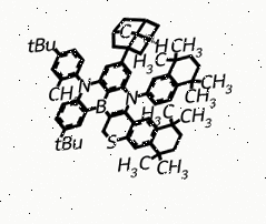 Cc1cc(C(C)(C)C)ccc1N1c2ccc(C(C)(C)C)cc2B2C3=C(c4cc5c(cc4SC3)C(C)(C)CCC5(C)C)N(c3ccc4c(c3)C(C)(C)CCC4(C)C)c3cc(C45CC6CC7C[C@@H](C4)C75C6)cc1c32